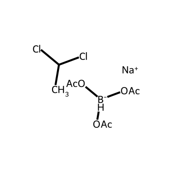 CC(=O)O[BH-](OC(C)=O)OC(C)=O.CC(Cl)Cl.[Na+]